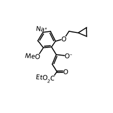 CCOC(=O)C(=O)C=C([O-])c1c(OC)cccc1OCC1CC1.[Na+]